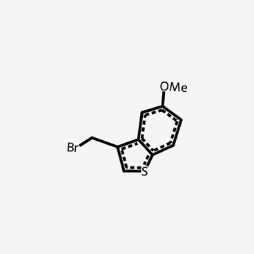 COc1ccc2scc(CBr)c2c1